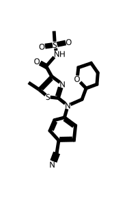 Cc1sc(N(CC2CCCCO2)c2ccc(C#N)cc2)nc1C(=O)NS(C)(=O)=O